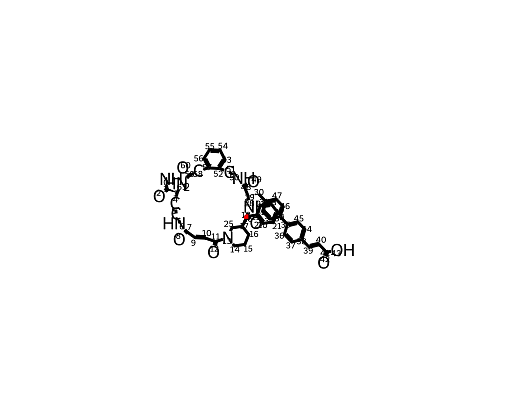 NC(=O)[C@@H]1CCNC(=O)/C=C/C(=O)N2CCC[C@](Cc3ccccc3)(C2)C(=O)N[C@@H](Cc2ccc(-c3ccc(/C=C/C(=O)O)cc3)cc2)C(=O)NCc2ccccc2CC(=O)N1